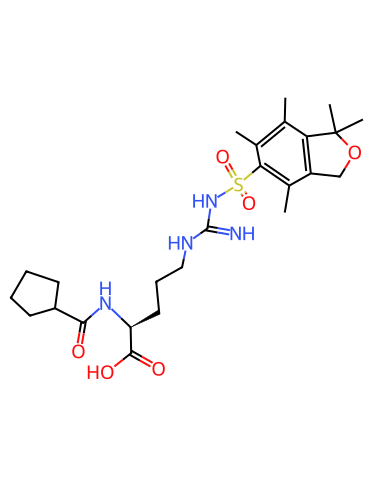 Cc1c(C)c(S(=O)(=O)NC(=N)NCCC[C@H](NC(=O)C2CCCC2)C(=O)O)c(C)c2c1C(C)(C)OC2